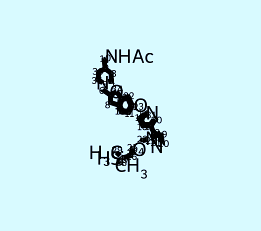 CC(=O)NCC1CCN(CC2Cc3ccc(Oc4ccc(-c5ccnn5COCC[SiH](C)C)cn4)cc3O2)CC1